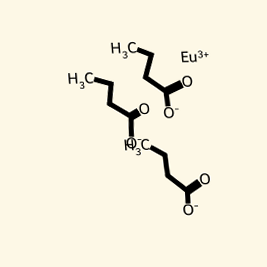 CCCC(=O)[O-].CCCC(=O)[O-].CCCC(=O)[O-].[Eu+3]